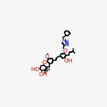 COc1cc(/C=C/c2cc(O)c(CC=C(C)C)c(OCc3cn(Cc4ccccc4)nn3)c2)cc2c1O[C@]1(C)C[C@@H](O)[C@@H](O)C(C)(C)[C@H]1C2